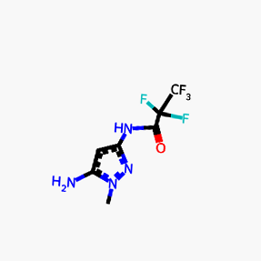 Cn1nc(NC(=O)C(F)(F)C(F)(F)F)cc1N